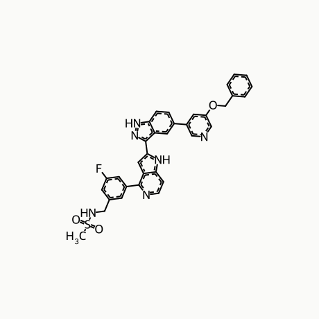 CS(=O)(=O)NCc1cc(F)cc(-c2nccc3[nH]c(-c4n[nH]c5ccc(-c6cncc(OCc7ccccc7)c6)cc45)cc23)c1